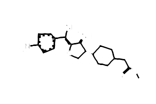 COC(=O)CC1CCC([C@@H]2CS/C(=C(/N)c3ccc(N)cc3)C2=N)CC1